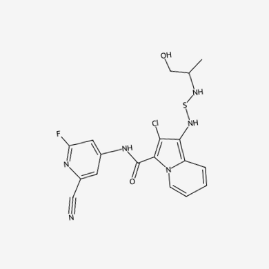 CC(CO)NSNc1c(Cl)c(C(=O)Nc2cc(F)nc(C#N)c2)n2ccccc12